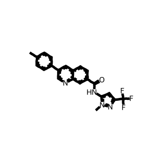 Cc1ccc(-c2cnc3cc(C(=O)Nc4cc(C(F)(F)F)nn4C)ccc3c2)cc1